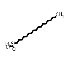 CCCCCCCCCCCCCCCCCC[SiH2]C(Cl)Cl